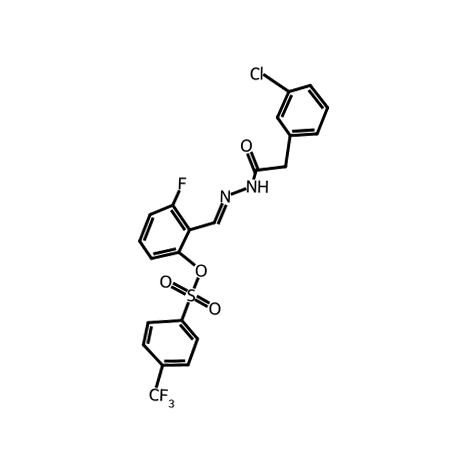 O=C(Cc1cccc(Cl)c1)N/N=C/c1c(F)cccc1OS(=O)(=O)c1ccc(C(F)(F)F)cc1